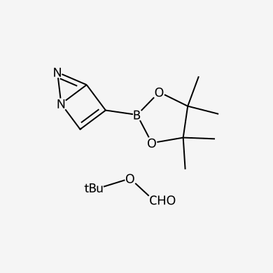 CC(C)(C)OC=O.CC1(C)OB(c2cn3nc2-3)OC1(C)C